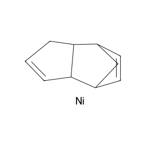 C1=CC2C3C=CC(C3)C2C1.[Ni]